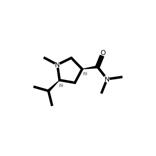 CC(C)[C@@H]1C[C@H](C(=O)N(C)C)CN1C